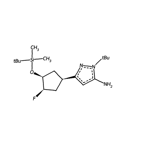 CC(C)(C)n1nc([C@H]2C[C@@H](F)[C@@H](O[Si](C)(C)C(C)(C)C)C2)cc1N